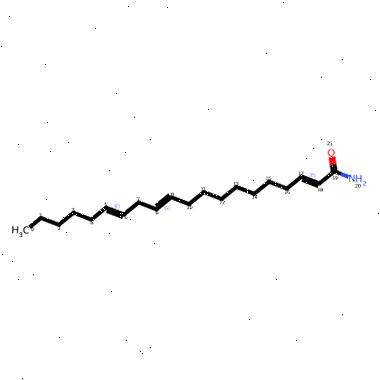 CCCCC/C=C/C/C=C/CCCCCCC/C=C/C(N)=O